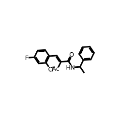 CC(=O)/C(=C\c1ccc(F)cc1Cl)C(=O)NC(C)c1ccccc1